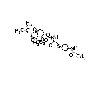 CCC(=O)Nc1ccc(SCC(=O)NC(=O)OC2CC[C@]3(CO3)C(C3(C)O[C@@H]3CC=C(C)C)C2OC)cc1